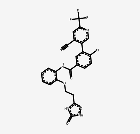 N#Cc1cc(C(F)(F)F)ncc1-c1cc(C(=O)Nc2ccccc2OCCc2n[nH]c(=O)[nH]2)ccc1Cl